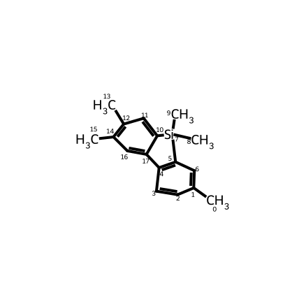 Cc1ccc2c(c1)[Si](C)(C)c1cc(C)c(C)cc1-2